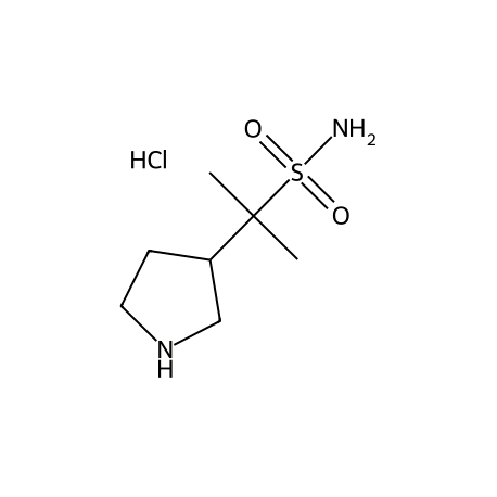 CC(C)(C1CCNC1)S(N)(=O)=O.Cl